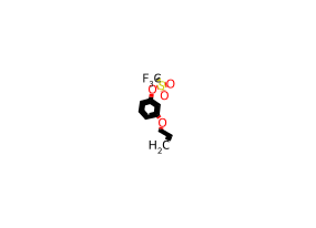 C=CCOc1cccc(OS(=O)(=O)C(F)(F)F)c1